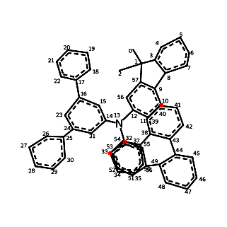 CC1(C)c2ccccc2-c2ccc(N(c3cc(-c4ccccc4)cc(-c4ccccc4)c3)c3ccccc3-c3ccccc3-c3ccccc3-c3ccccc3)cc21